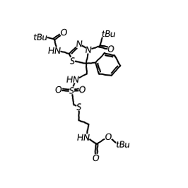 CC(C)(C)OC(=O)NCCSCS(=O)(=O)NCC1(c2ccccc2)SC(NC(=O)C(C)(C)C)=NN1C(=O)C(C)(C)C